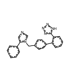 c1ccc(-c2cncn2Cc2ccc(-c3ccccc3-c3nnn[nH]3)cc2)cc1